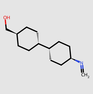 C=N[C@H]1CC[C@H]([C@H]2CC[C@H](CO)CC2)CC1